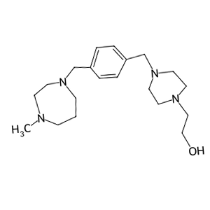 CN1CCCN(Cc2ccc(CN3CCN(CCO)CC3)cc2)CC1